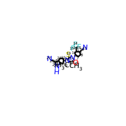 CC1(C)C(=O)N(c2ccc(C#N)c(C(F)(F)F)c2)C(=S)N1c1ccc2c(C#N)c[nH]c2c1